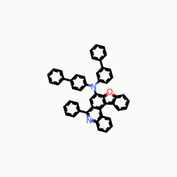 c1ccc(-c2ccc(N(c3cccc(-c4ccccc4)c3)c3cc4c(-c5ccccc5)nc5ccccc5c4c4c3oc3ccccc34)cc2)cc1